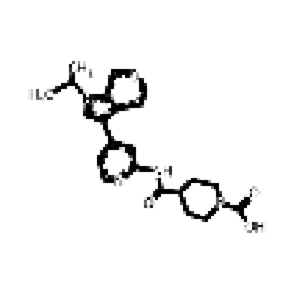 CC(C)n1cc(-c2ccnc(NC(=O)C3CCN(C(=O)O)CC3)c2)c2ccncc21